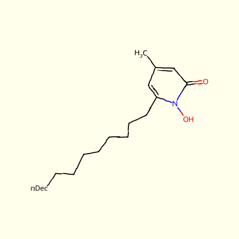 CCCCCCCCCCCCCCCCCCc1cc(C)cc(=O)n1O